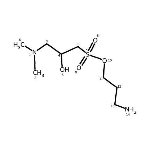 CN(C)CC(O)CS(=O)(=O)OCCCN